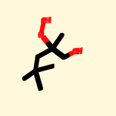 CC(C)(C)CC(C)(CO)OO